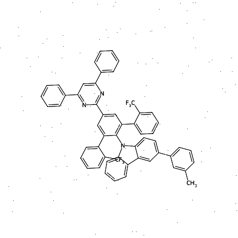 Cc1cccc(-c2ccc3c(c2)c2ccccc2n3-c2c(-c3ccccc3C(F)(F)F)cc(-c3nc(-c4ccccc4)cc(-c4ccccc4)n3)cc2-c2ccccc2C(F)(F)F)c1